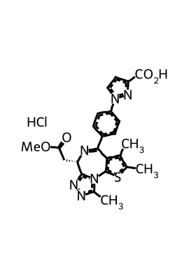 COC(=O)C[C@@H]1N=C(c2ccc(-n3ccc(C(=O)O)n3)cc2)c2c(sc(C)c2C)-n2c(C)nnc21.Cl